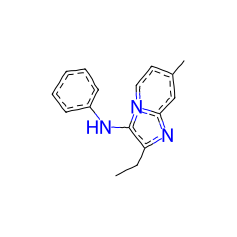 CCc1nc2cc(C)ccn2c1Nc1ccccc1